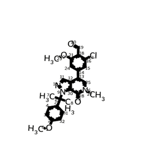 COc1ccc(C(C)(C)n2ncc3c(-c4cc(Cl)c(C=O)c(OC)c4)cn(C)c(=O)c32)cc1